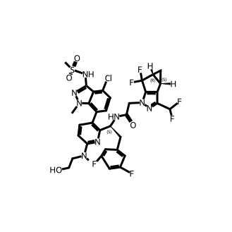 CN(CCO)c1ccc(-c2ccc(Cl)c3c(NS(C)(=O)=O)nn(C)c23)c([C@H](Cc2cc(F)cc(F)c2)NC(=O)Cn2nc(C(F)F)c3c2C(F)(F)[C@@H]2C[C@H]32)n1